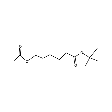 CC(=O)OCCCCCC(=O)OC(C)(C)C